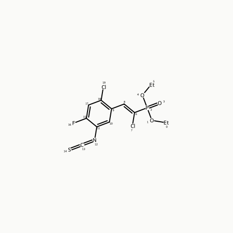 CCOP(=O)(OCC)C(Cl)=Cc1cc(N=C=S)c(F)cc1Cl